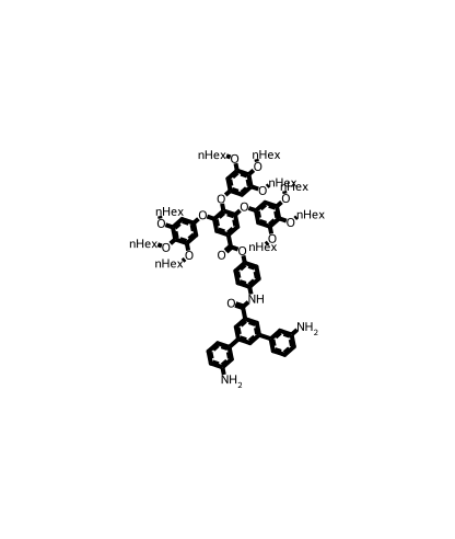 CCCCCCOc1cc(Oc2cc(C(=O)Oc3ccc(NC(=O)c4cc(-c5cccc(N)c5)cc(-c5cccc(N)c5)c4)cc3)cc(Oc3cc(OCCCCCC)c(OCCCCCC)c(OCCCCCC)c3)c2Oc2cc(OCCCCCC)c(OCCCCCC)c(OCCCCCC)c2)cc(OCCCCCC)c1OCCCCCC